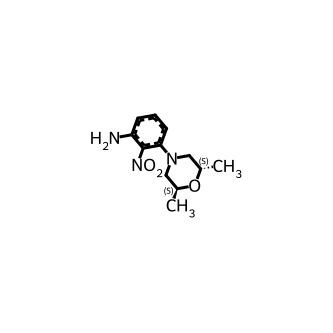 C[C@H]1CN(c2cccc(N)c2[N+](=O)[O-])C[C@H](C)O1